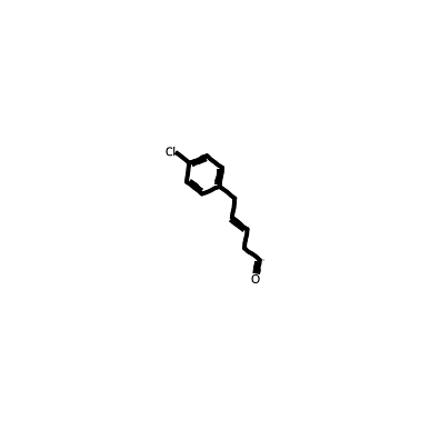 O=[C]CC=CCc1ccc(Cl)cc1